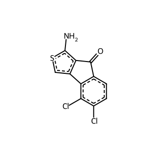 Nc1scc2c1C(=O)c1ccc(Cl)c(Cl)c1-2